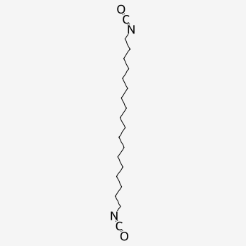 O=C=NCCCCCCCCCCCCCCCCCCN=C=O